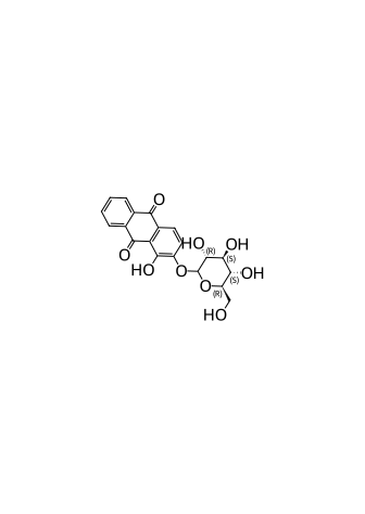 O=C1c2ccccc2C(=O)c2c1ccc(OC1O[C@H](CO)[C@@H](O)[C@H](O)[C@H]1O)c2O